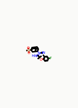 Cc1cc(F)ccc1OC(C)(C)C(=N)N(C#N)C1C2CC3CC1CC(S(C)(=O)=O)(C3)C2